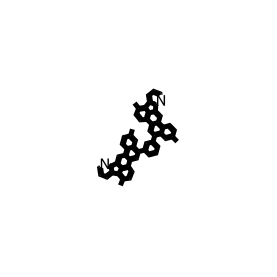 Cc1ccc2c(c1)c(-c1cccc(-c3cc4c5ccc(C)c6c5c(cc4c4ccc(C)cc34)-c3ncccc3-6)c1)cc1c3ccc(C)c4c3c(cc21)-c1ncccc1-4